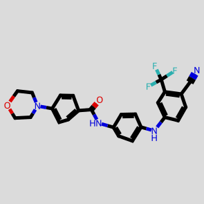 N#Cc1ccc(Nc2ccc(NC(=O)c3ccc(N4CCOCC4)cc3)cc2)cc1C(F)(F)F